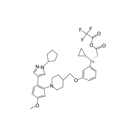 COc1ccc(-c2cnn(C3CCCC3)c2)c(N2CCC(COc3cccc([C@@H](CC(=O)OC(=O)C(F)(F)F)C4CC4)c3)CC2)c1